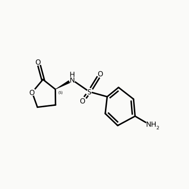 Nc1ccc(S(=O)(=O)N[C@H]2CCOC2=O)cc1